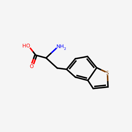 NC(Cc1ccc2sccc2c1)C(=O)O